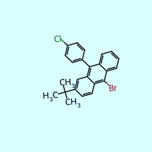 CC(C)(C)c1ccc2c(Br)c3ccccc3c(-c3ccc(Cl)cc3)c2c1